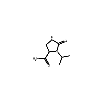 CC(C)N1C(=O)NCC1C(N)=O